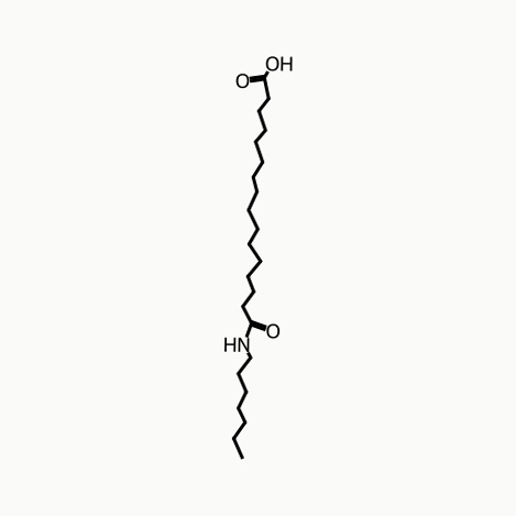 CCCCCCCNC(=O)CCCCCCCCCCCCCCC(=O)O